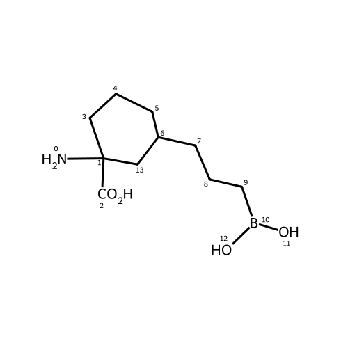 NC1(C(=O)O)CCCC(CCCB(O)O)C1